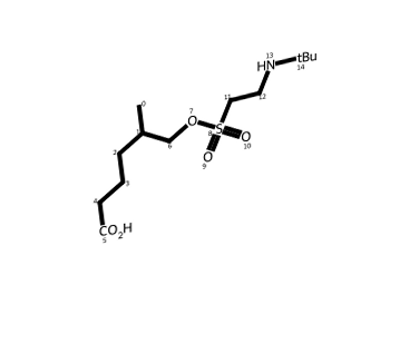 CC(CCCC(=O)O)COS(=O)(=O)CCNC(C)(C)C